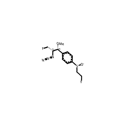 CO[C@H](c1ccc([S+]([O-])CCF)cc1)[C@@H](CF)N=[N+]=[N-]